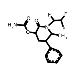 CC1C(c2ccccc2)CC(OC(N)=O)C(=O)N1C(F)C(F)F